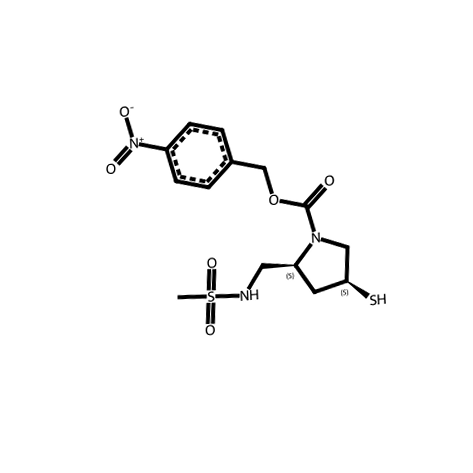 CS(=O)(=O)NC[C@@H]1C[C@H](S)CN1C(=O)OCc1ccc([N+](=O)[O-])cc1